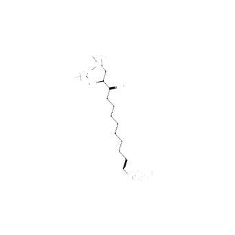 CCCCCCCCC=CCCCCCCCC(=O)C(C[N+](C)(C)C)O[PH-]